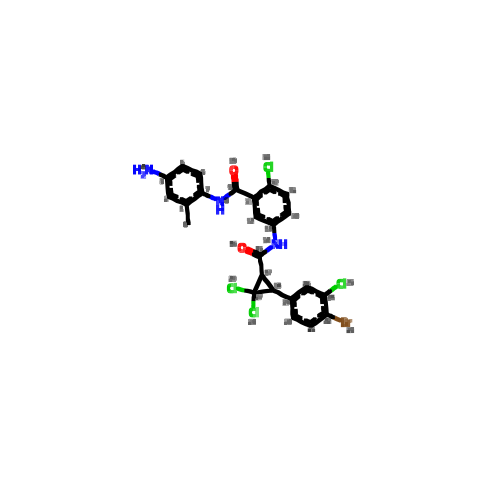 Cc1cc(N)ccc1NC(=O)c1cc(NC(=O)C2C(c3ccc(Br)c(Cl)c3)C2(Cl)Cl)ccc1Cl